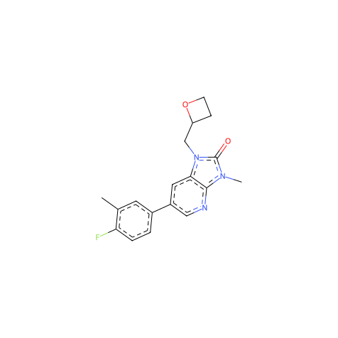 Cc1cc(-c2cnc3c(c2)n(CC2CCO2)c(=O)n3C)ccc1F